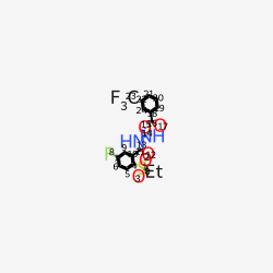 CCS(=O)(=O)c1ccc(F)cc1C(=O)NNOC(=O)c1cccc(C(F)(F)F)c1